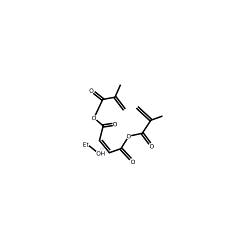 C=C(C)C(=O)OC(=O)/C=C\C(=O)OC(=O)C(=C)C.CCO